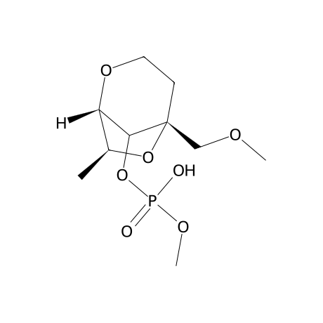 COC[C@]12CCO[C@H](C1OP(=O)(O)OC)[C@H](C)O2